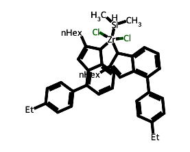 CCCCCCC1=Cc2c(-c3ccc(CC)cc3)cccc2[CH]1[Zr]([Cl])([Cl])([CH]1C(CCCCCC)=Cc2c(-c3ccc(CC)cc3)cccc21)[SiH](C)C